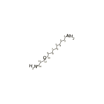 NCCCCCCCCCCOCCCN